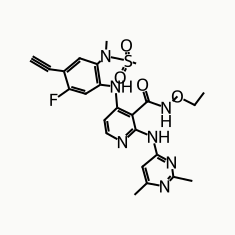 C#Cc1cc(N(C)S(C)(=O)=O)c(Nc2ccnc(Nc3cc(C)nc(C)n3)c2C(=O)NOCC)cc1F